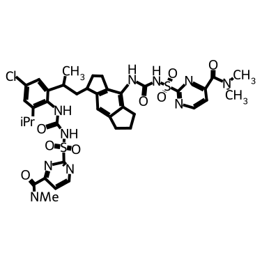 CNC(=O)c1ccnc(S(=O)(=O)NC(=O)Nc2c(C(C)C)cc(Cl)cc2C(C)CC2CCc3c2cc2c(c3NC(=O)NS(=O)(=O)c3nccc(C(=O)N(C)C)n3)CCC2)n1